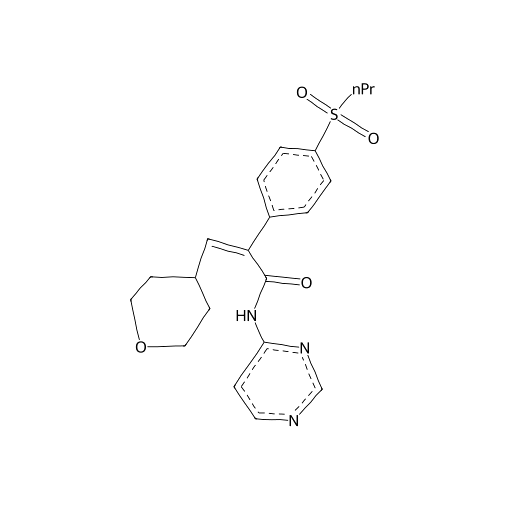 CCCS(=O)(=O)c1ccc(C(=CC2CCOCC2)C(=O)Nc2ccncn2)cc1